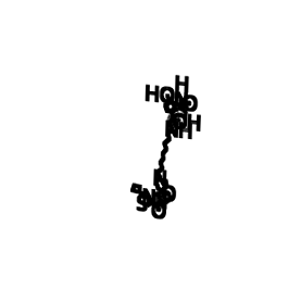 O=C(c1csc(C2CCC2)n1)N1CCOC2(CCN(CCCCCCCCCNC[C@H](O)c3ccc(O)c4[nH]c(=O)sc34)CC2)C1